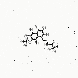 [2H]c1c([2H])c(CCNC(=O)C([2H])([2H])[2H])c2c([2H])c(OC([2H])([2H])[2H])c([2H])c([2H])c2c1[2H]